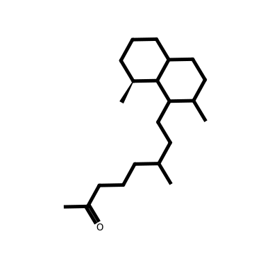 CC(=O)CCCC(C)CCC1C(C)CCC2CCC[C@H](C)C21